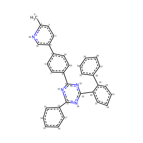 Cc1ccc(-c2ccc(-c3nc(-c4ccccc4)nc(-c4ccccc4-c4ccccc4)n3)cc2)cn1